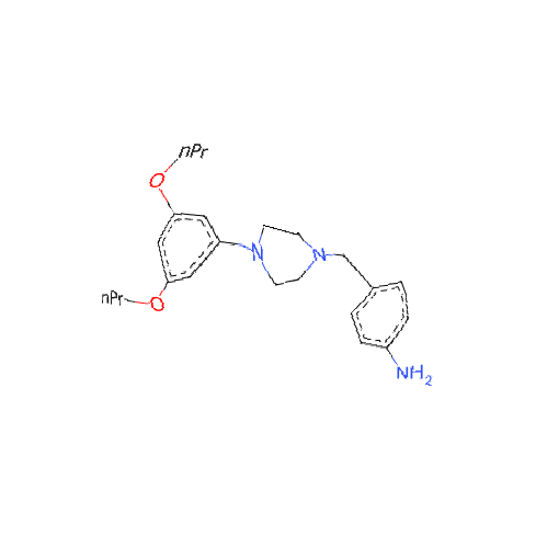 CCCOc1cc(OCCC)cc(N2CCN(Cc3ccc(N)cc3)CC2)c1